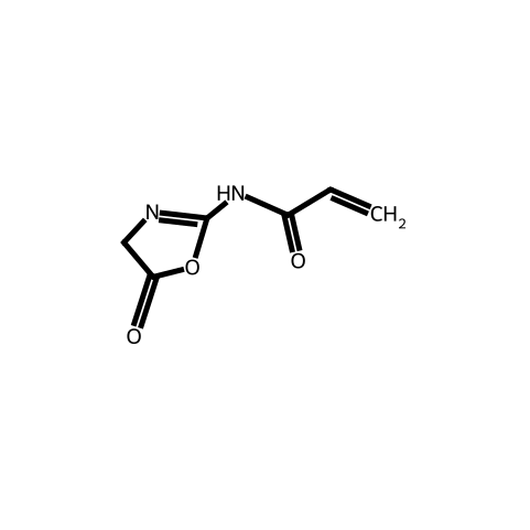 C=CC(=O)NC1=NCC(=O)O1